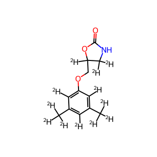 [2H]c1c(OCC2([2H])OC(=O)NC2([2H])[2H])c([2H])c(C([2H])([2H])[2H])c([2H])c1C([2H])([2H])[2H]